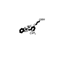 COCCCOc1ccnc(C[S+]([O-])c2nc3ccccc3[nH]2)c1C.[CaH2]